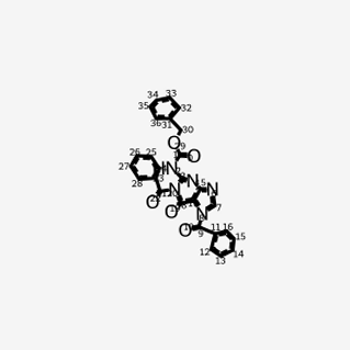 O=C(Nc1nc2ncn(C(=O)c3ccccc3)c2c(=O)n1C(=O)c1ccccc1)OCc1ccccc1